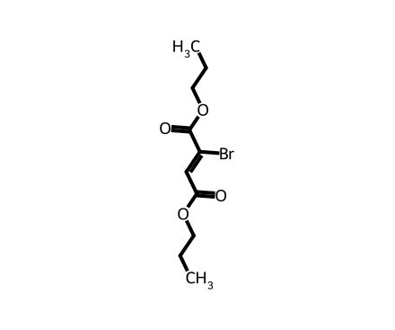 CCCOC(=O)/C=C(\Br)C(=O)OCCC